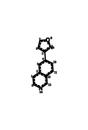 c1cc2cc(-c3ccon3)ccc2cn1